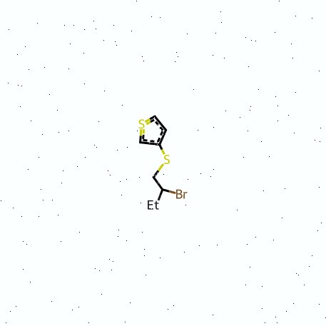 CCC(Br)CSc1ccsc1